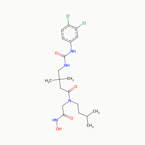 CC(C)CCN(CC(=O)NO)C(=O)CC(C)(C)CNC(=O)Nc1ccc(Cl)c(Cl)c1